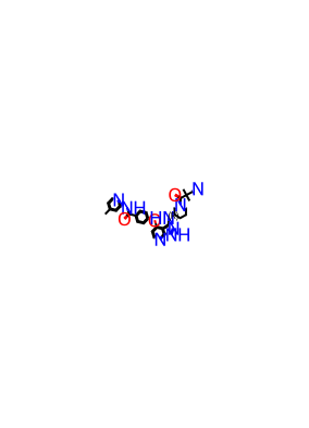 Cc1ccnc(NC(=O)c2ccc(Oc3ccnc4[nH]nc(N[C@@H]5CCCN(C(=O)C(C)(C)C#N)C5)c34)cc2)c1